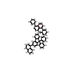 c1ccc(-c2ccc(N(c3ccc4c(c3)C(c3ccccc3)(c3ccccc3)c3ccc(-c5cccc6ccccc56)cc3-4)c3ccccc3-c3ccccc3)cc2)cc1